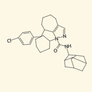 O=C(NC1C2CC3CC(C2)CC1C3)[N+]1(C2CCCCC2)N=CC2=C1C(Cc1ccc(Cl)cc1)CCCC2